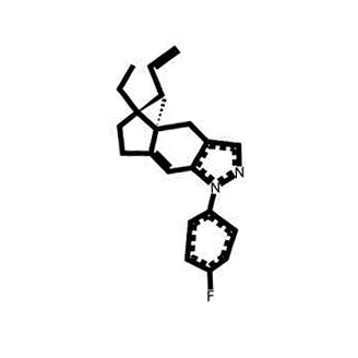 C=CC[C@]1(CC)CCC2=Cc3c(cnn3-c3ccc(F)cc3)C[C@@]21C